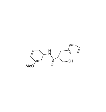 COc1cccc(NC(=O)C(CS)Cc2ccccc2)c1